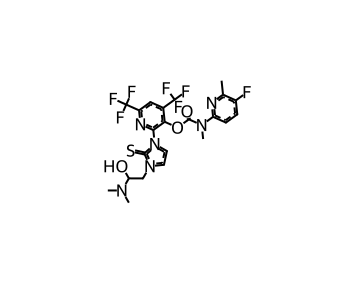 Cc1nc(N(C)C(=O)Oc2c(C(F)(F)F)cc(C(F)(F)F)nc2-n2ccn(CC(O)N(C)C)c2=S)ccc1F